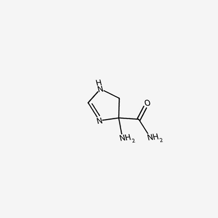 NC(=O)C1(N)CNC=N1